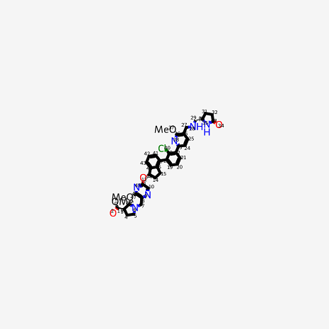 COC(=O)[C@@H]1CCN(Cc2ncc(O[C@H]3CCc4c(-c5cccc(-c6ccc(CNC[C@@H]7CCC(=O)N7)c(OC)n6)c5Cl)cccc43)nc2OC)C1